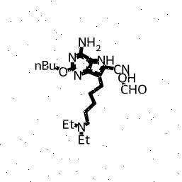 CCCCOc1nc(N)c2[nH]c(C#N)c(CCCCCN(CC)CC)c2n1.O=CO